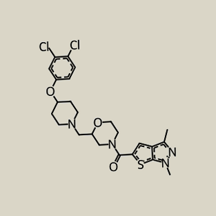 Cc1nn(C)c2sc(C(=O)N3CCOC(CN4CCC(Oc5ccc(Cl)c(Cl)c5)CC4)C3)cc12